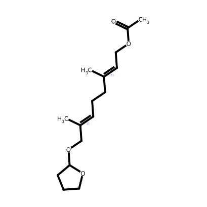 CC(=O)OC/C=C(\C)CC/C=C(\C)COC1CCCO1